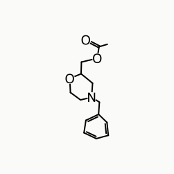 CC(=O)OCC1CN(Cc2ccccc2)CCO1